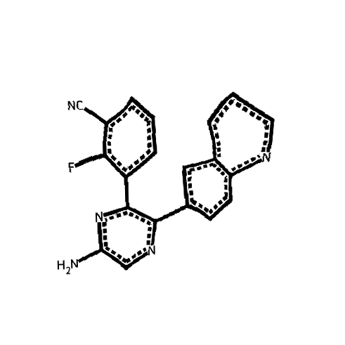 N#Cc1cccc(-c2nc(N)cnc2-c2ccc3ncccc3c2)c1F